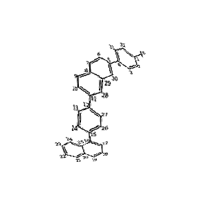 Ic1ccc(-c2ccc3ccc(-c4ccc(-c5cccc6ccccc56)cc4)cc3c2)cc1